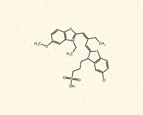 CCC(=Cc1sc2ccc(OC)cc2[n+]1CC)C=C1Sc2ccc(Cl)cc2N1CCCS(=O)(=O)O